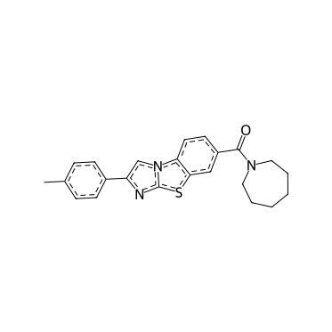 Cc1ccc(-c2cn3c(n2)sc2cc(C(=O)N4CCCCCC4)ccc23)cc1